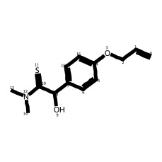 C=CCOc1ccc(C(O)C(=S)N(C)C)cc1